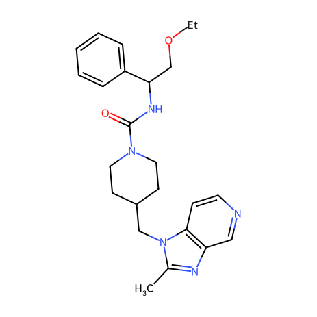 CCOCC(NC(=O)N1CCC(Cn2c(C)nc3cnccc32)CC1)c1ccccc1